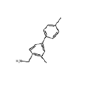 Cc1ccc(-c2ccc(CN)c(C)c2)cc1